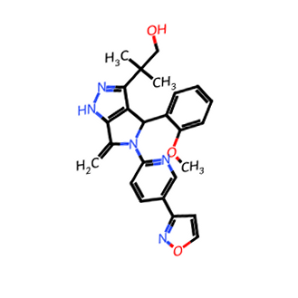 C=C1c2[nH]nc(C(C)(C)CO)c2C(c2ccccc2OC)N1c1ccc(-c2ccon2)cn1